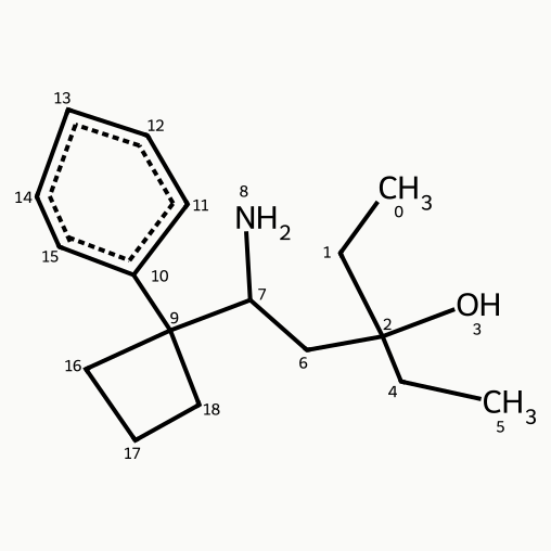 CCC(O)(CC)CC(N)C1(c2ccccc2)CCC1